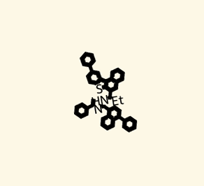 C=C(/N=C(\NC(CC)c1cc2ccccc2c2c1sc1ccc(-c3ccccc3)cc12)c1ccc(-c2ccccc2)c2ccccc12)c1ccccc1